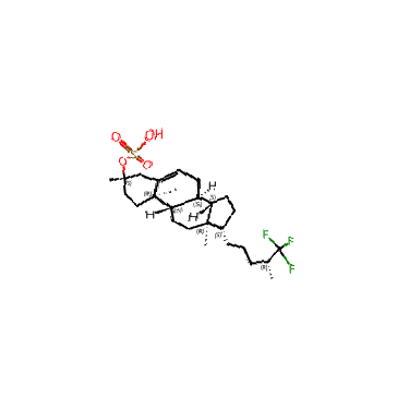 C[C@H](CCC[C@H]1CC[C@H]2[C@@H]3CC=C4C[C@@](C)(OS(=O)(=O)O)CC[C@]4(C)[C@H]3CC[C@]12C)C(F)(F)F